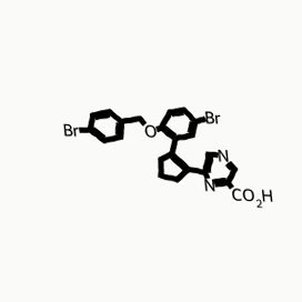 O=C(O)c1cncc(C2=C(c3cc(Br)ccc3OCc3ccc(Br)cc3)CCC2)n1